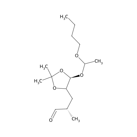 CCCCOC(C)O[C@@H]1OC(C)(C)OC1C[C@H](C)C=O